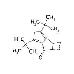 CC(C)(C)C1=C2C(=O)C3CCC3C2=C(C(C)(C)C)C1